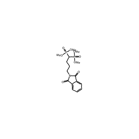 COP(=O)(OC)C(CCCN1C(=O)c2ccccc2C1=O)P(=O)(OC)OC